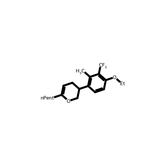 CCCCCC1=CCC(c2ccc(OCC)c(C(F)(F)F)c2C)CO1